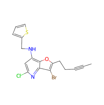 CC#CCCc1oc2c(NCc3cccs3)cc(Cl)nc2c1Br